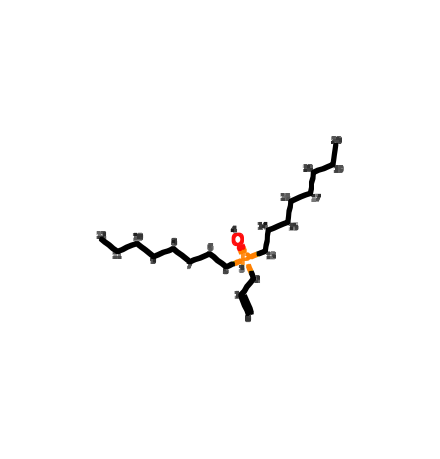 C=CCP(=O)(CCCCCCCC)CCCCCCCC